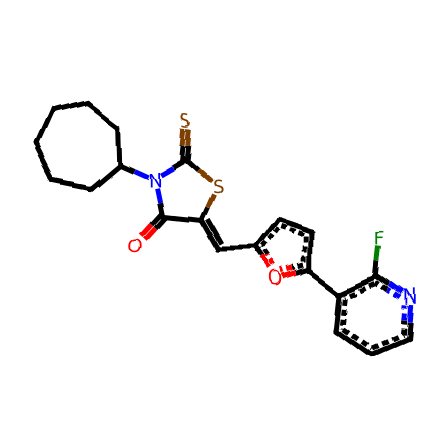 O=C1/C(=C/c2ccc(-c3cccnc3F)o2)SC(=S)N1C1CCCCCC1